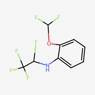 FC(F)Oc1ccccc1NC(F)C(F)(F)F